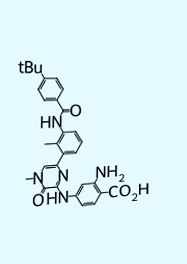 Cc1c(NC(=O)c2ccc(C(C)(C)C)cc2)cccc1-c1cn(C)c(=O)c(Nc2ccc(C(=O)O)c(N)c2)n1